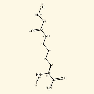 NC(=O)[C@H](CCCCNC(=O)CNS)NI